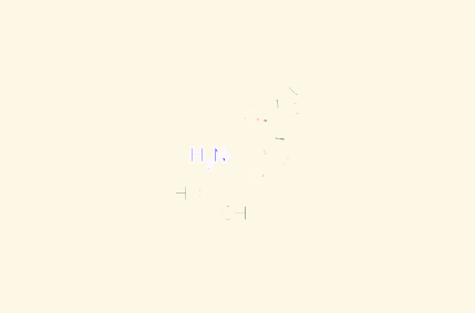 CCCC1(CCC)Oc2cccc(C(=O)c3cccs3)c2CC1N